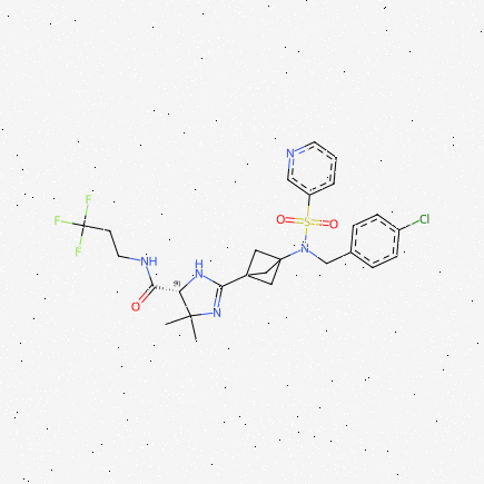 CC1(C)N=C(C23CC(N(Cc4ccc(Cl)cc4)S(=O)(=O)c4cccnc4)(C2)C3)N[C@H]1C(=O)NCCC(F)(F)F